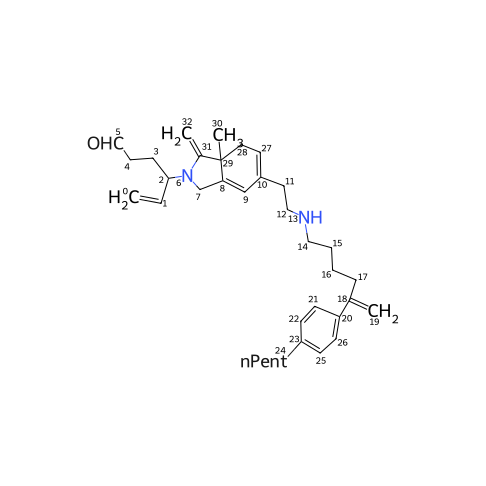 C=CC(CCC=O)N1CC2=CC(CCNCCCCC(=C)c3ccc(CCCCC)cc3)=CCC2(C)C1=C